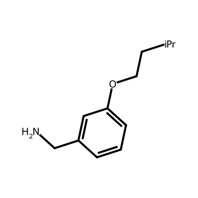 CC(C)CCOc1cccc(CN)c1